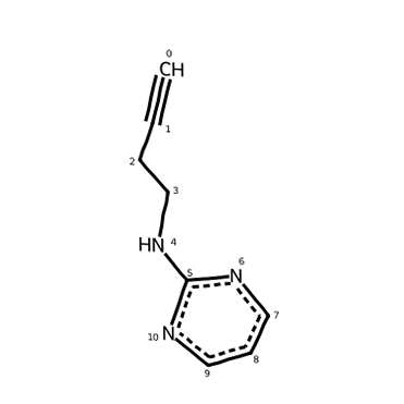 C#CCCNc1ncccn1